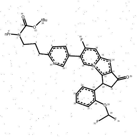 CCCN(CCCc1ccc(-c2cn3c4c(nc3cc2F)C(=O)CC4c2ccccc2OC(F)F)cn1)C(=O)OC(C)(C)C